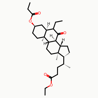 CCOC(=O)CC[C@@H](C)[C@H]1CC[C@H]2[C@@H]3C(=O)C(CC)[C@@H]4C[C@H](OC(=O)CC)CC[C@]4(C)[C@H]3CC[C@]12C